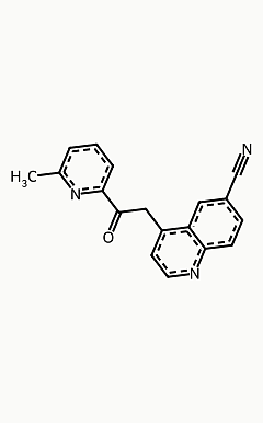 Cc1cccc(C(=O)Cc2ccnc3ccc(C#N)cc23)n1